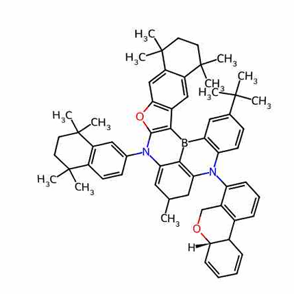 CC1C=C2C3=C(C1)N(c1cccc4c1CO[C@H]1C=CC=CC41)c1ccc(C(C)(C)C)cc1B3c1c(oc3cc4c(cc13)C(C)(C)CCC4(C)C)N2c1ccc2c(c1)C(C)(C)CCC2(C)C